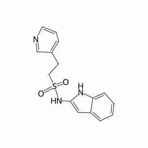 O=S(=O)(CCc1cccnc1)Nc1cc2ccccc2[nH]1